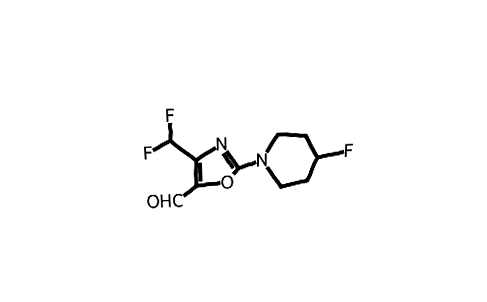 O=Cc1oc(N2CCC(F)CC2)nc1C(F)F